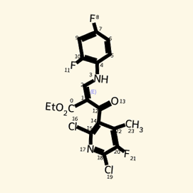 CCOC(=O)/C(=C/Nc1ccc(F)cc1F)C(=O)c1c(Cl)nc(Cl)c(F)c1C